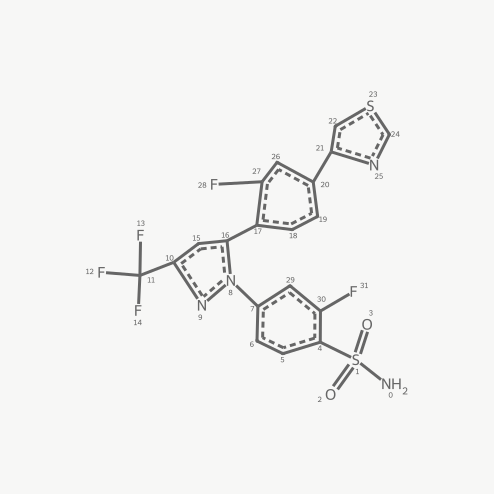 NS(=O)(=O)c1ccc(-n2nc(C(F)(F)F)cc2-c2ccc(-c3cscn3)cc2F)cc1F